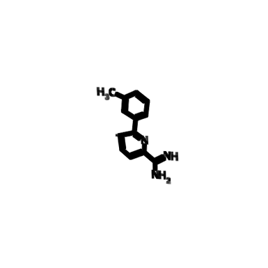 Cc1cccc(-c2[c]ccc(C(=N)N)n2)c1